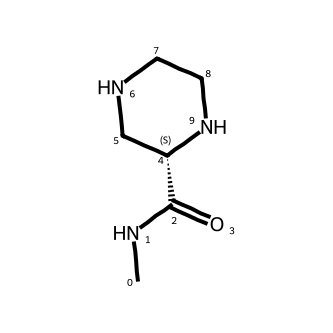 CNC(=O)[C@@H]1CNCCN1